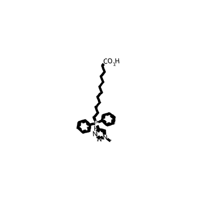 Cn1cc([PH](CCCCCCCCCCCC(=O)O)(c2ccccc2)c2ccccc2)nn1